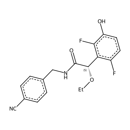 CCO[C@H](C(=O)NCc1ccc(C#N)cc1)c1c(F)ccc(O)c1F